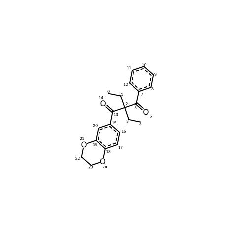 CCC(CC)(C(=O)c1ccccc1)C(=O)c1ccc2c(c1)OCCO2